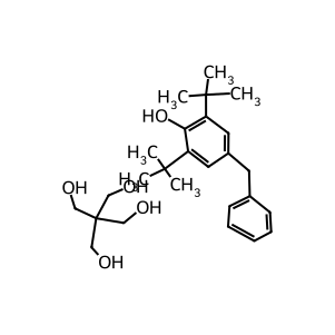 CC(C)(C)c1cc(Cc2ccccc2)cc(C(C)(C)C)c1O.OCC(CO)(CO)CO